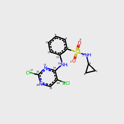 O=S(=O)(NC1CC1)c1ccccc1Nc1nc(Cl)ncc1Cl